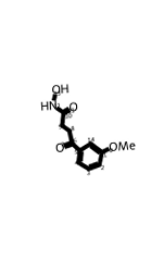 COc1cccc(C(=O)CCC(=O)NO)c1